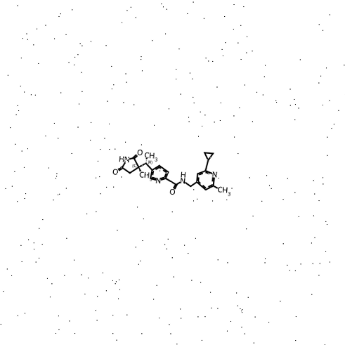 Cc1cc(CNC(=O)c2ccc([C@@H](C)[C@]3(C)CC(=O)NC3=O)cn2)cc(C2CC2)n1